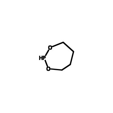 C1CCOPOC1